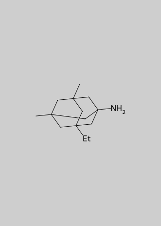 CCC12CC3(C)CC(C)(CC(N)(C3)C1)C2